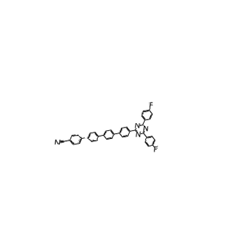 N#Cc1ccc(-c2ccc(-c3ccc(-c4ccc(-c5nc(-c6ccc(F)cc6)nc(-c6ccc(F)cc6)n5)cc4)cc3)cc2)cc1